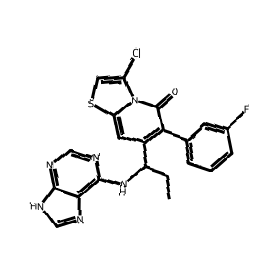 CCC(Nc1ncnc2[nH]cnc12)c1cc2scc(Cl)n2c(=O)c1-c1cccc(F)c1